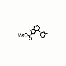 COC(=O)c1cc2c(-c3cccc(C)c3)cccc2s1